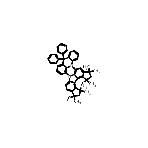 CC1(C)CC(C)(C)c2c1ccc1c2c2c3c(cc4c2n1-c1cccc2c1B4c1ccccc1C2(c1ccccc1)c1ccccc1)C(C)(C)CC3(C)C